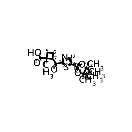 CC1(C(=O)O)CCC1C(=O)c1ncc(B2OC(C)(C)C(C)(C)O2)s1